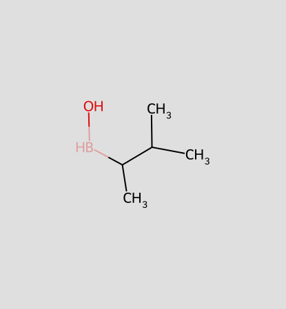 CC(C)C(C)BO